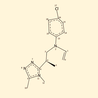 C=CN(C[C@@H](C)c1nnc(C)n1C)c1ccc(Cl)cc1